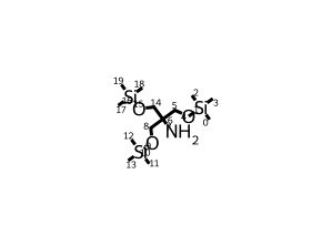 C[Si](C)(C)OCC(N)(CO[Si](C)(C)C)CO[Si](C)(C)C